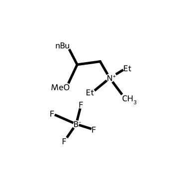 CCCCC(C[N+](C)(CC)CC)OC.F[B-](F)(F)F